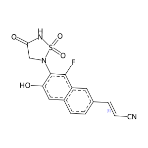 N#C/C=C/c1ccc2cc(O)c(N3CC(=O)NS3(=O)=O)c(F)c2c1